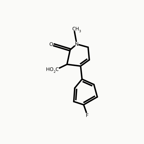 CN1CC=C(c2ccc(F)cc2)C(C(=O)O)C1=O